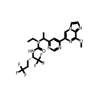 CCN(C(=O)N[C@@H](CCC(F)(F)F)C(F)(F)F)C(C)c1cc(-c2cn3ccnc3c(OC)n2)ncn1